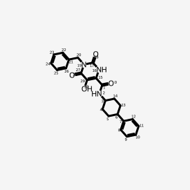 O=C(NC1CCC(c2ccccc2)CC1)c1[nH]c(=O)n(Cc2ccccc2)c(=O)c1O